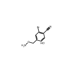 Cl.N#Cc1ccc(CON)cc1Br